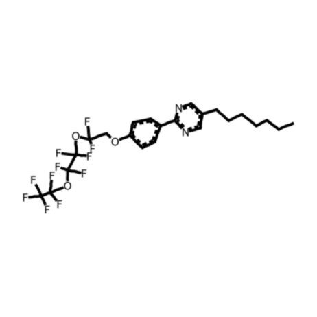 CCCCCCCc1cnc(-c2ccc(OCC(F)(F)OC(F)(F)C(F)(F)OC(F)(F)C(F)(F)F)cc2)nc1